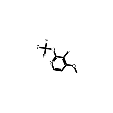 [CH2]c1c(OC)ccnc1OC(F)(F)F